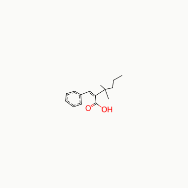 CCCC(C)(C)C(=Cc1ccccc1)C(=O)O